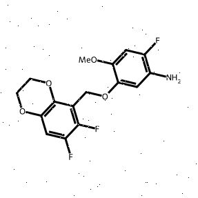 COc1cc(F)c(N)cc1OCc1c(F)c(F)cc2c1OCCO2